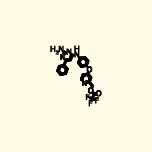 Nc1nc(Nc2ccc(Oc3ccnc(COC(=O)C(F)(F)F)c3)cc2)cc(-c2ccccc2)n1